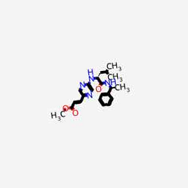 COC(=O)/C=C/c1cnc(N[C@H](CC(C)C)C(=O)N[C@@H](C)c2ccccc2)cn1